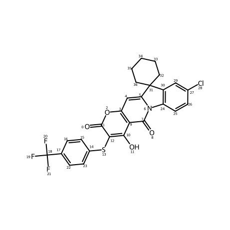 O=c1oc2cc3n(c(=O)c2c(O)c1Sc1ccc(C(F)(F)F)cc1)-c1ccc(Cl)cc1C31CCCCC1